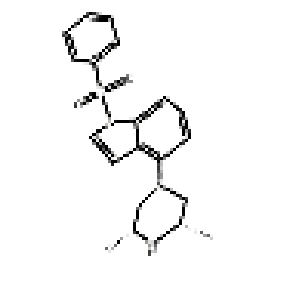 C[C@@H]1CN(c2cccc3c2ccn3S(=O)(=O)c2ccccc2)C[C@H](C)N1